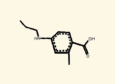 CCCNc1ccc(C(=O)O)c(C)c1